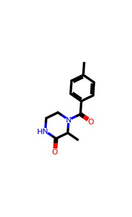 Cc1ccc(C(=O)N2CCNC(=O)C2C)cc1